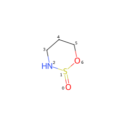 O=S1NCCCO1